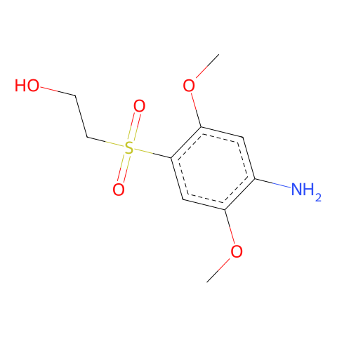 COc1cc(S(=O)(=O)CCO)c(OC)cc1N